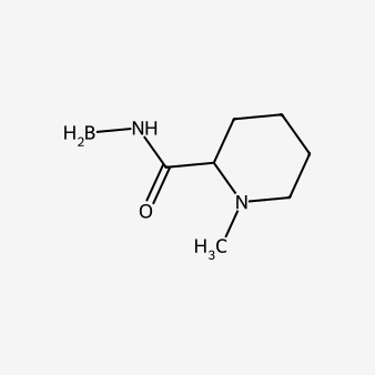 BNC(=O)C1CCCCN1C